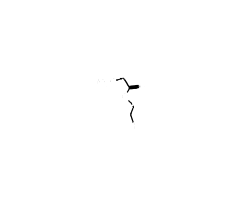 O=C(O)CC(=O)OCCI